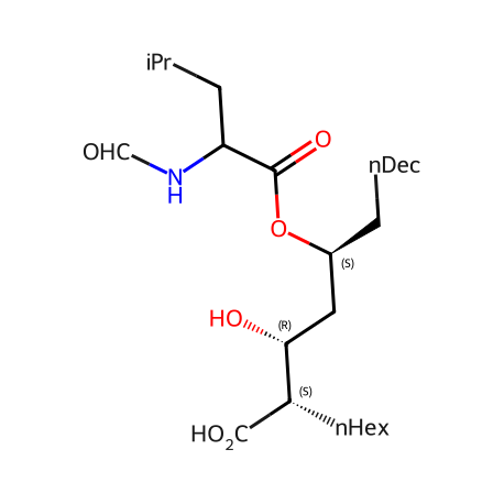 CCCCCCCCCCC[C@@H](C[C@@H](O)[C@H](CCCCCC)C(=O)O)OC(=O)C(CC(C)C)NC=O